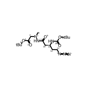 CN(CC(=O)OC(C)(C)C)NC(=O)C[C@H](CCN=[N+]=[N-])NC(=O)OC(C)(C)C